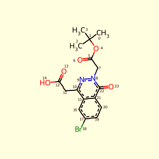 CC(C)(C)OC(=O)Cn1nc(CC(=O)O)c2cc(Br)ccc2c1=O